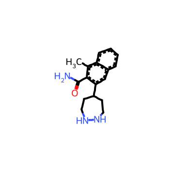 Cc1c(C(N)=O)c(C2CCNNCC2)cc2ccccc12